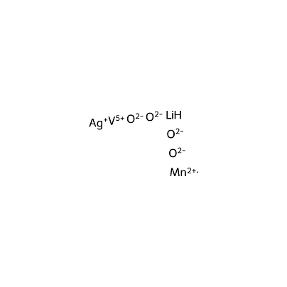 [Ag+].[LiH].[Mn+2].[O-2].[O-2].[O-2].[O-2].[V+5]